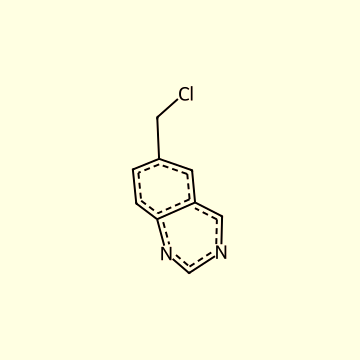 ClCc1ccc2ncncc2c1